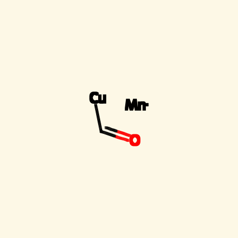 O=[CH][Cu].[Mn]